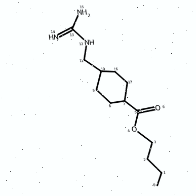 CCCCOC(=O)C1CCC(CNC(=N)N)CC1